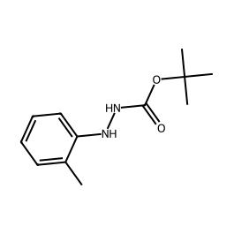 Cc1ccccc1NNC(=O)OC(C)(C)C